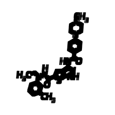 CCN(NC(=O)c1cc2c(NC(=O)c3ccc(N4CCN(C)CC4)cc3)n[nH]c2s1)c1cccc(C)c1